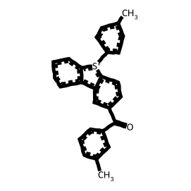 Cc1ccc(-[s+]2c3ccccc3c3cc(C(=O)c4cccc(C)c4)ccc32)cc1